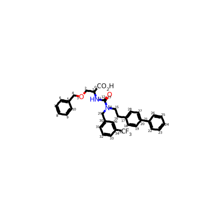 O=C(O)C(COCc1ccccc1)NC(=O)N(CCc1ccc(-c2ccccc2)cc1)Cc1cccc(C(F)(F)F)c1